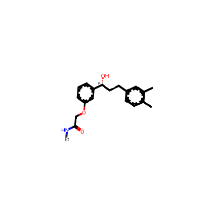 CCNC(=O)COc1cccc([C@H](O)CCc2ccc(C)c(C)c2)c1